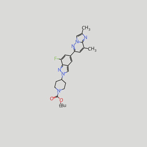 Cc1cn2nc(-c3cc(F)c4nn(C5CCN(C(=O)OC(C)(C)C)CC5)cc4c3)cc(C)c2n1